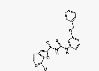 O=C(NC(=S)Nc1cccc(OCc2ccccc2)c1)c1cc2ccnc(Cl)c2o1